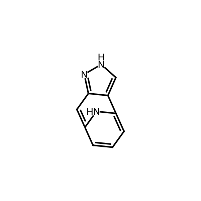 C1=CC2=Cc3n[nH]cc3C(=C1)N2